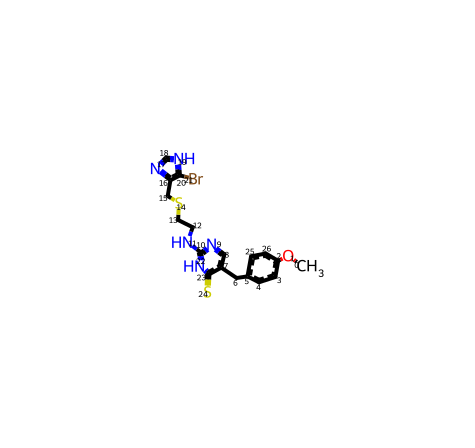 COc1ccc(Cc2cnc(NCCSCc3nc[nH]c3Br)[nH]c2=S)cc1